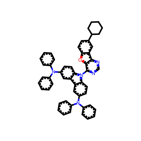 c1ccc(N(c2ccccc2)c2ccc3c(c2)c2cc(N(c4ccccc4)c4ccccc4)ccc2n3-c2ncnc3c2oc2ccc(C4CCCCC4)cc23)cc1